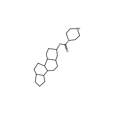 O=C(OC1CCC2C(CCC3C4CCCC4CCC23)C1)N1CCNCC1